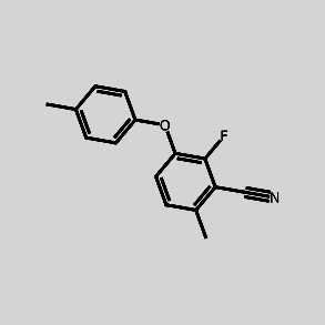 Cc1ccc(Oc2ccc(C)c(C#N)c2F)cc1